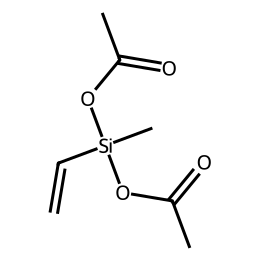 C=C[Si](C)(OC(C)=O)OC(C)=O